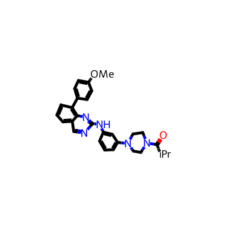 COc1ccc(-c2cccc3cnc(Nc4cccc(N5CCN(C(=O)C(C)C)CC5)c4)nc23)cc1